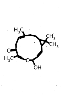 C/C1=C/CC(=O)/C(C)=C\CC(O)/C=C\C2C(CC1)C2(C)C